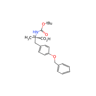 CC(C)(C)OC(=O)N[C@@](C)(Cc1ccc(OCc2ccccc2)cc1)C(=O)O